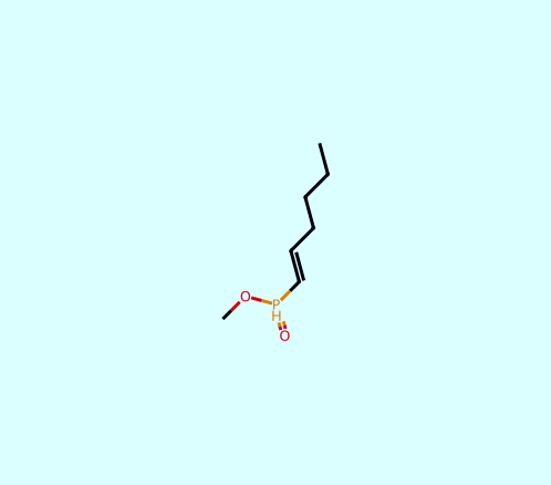 CCCCC=C[PH](=O)OC